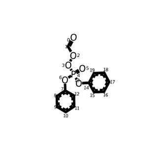 O=COOP(=O)(Oc1ccccc1)Oc1ccccc1